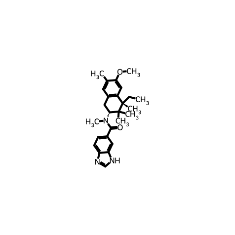 CC[C@@]1(C)c2cc(OC)c(C)cc2C[C@@H](N(C)C(=O)c2ccc3nc[nH]c3c2)C1(C)C